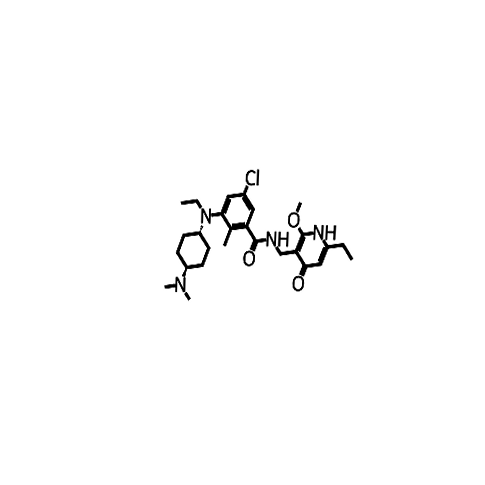 CCc1cc(=O)c(CNC(=O)c2cc(Cl)cc(N(CC)[C@H]3CC[C@H](N(C)C)CC3)c2C)c(OC)[nH]1